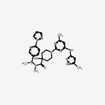 Cc1cc(Nc2cc(C)[nH]n2)nc(N2CCC(O)(C(=O)N(C)[C@@H](C)c3ccc(-n4cccn4)nc3)CC2)n1